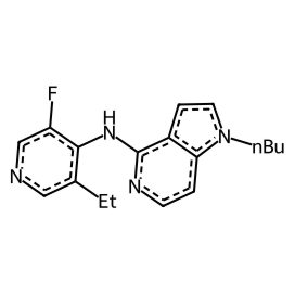 CCCCn1ccc2c(Nc3c(F)cncc3CC)nccc21